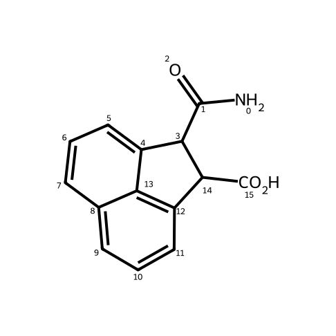 NC(=O)C1c2cccc3cccc(c23)C1C(=O)O